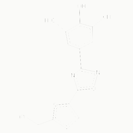 Cc1cc(-c2noc(-c3ccc(CC(C)C)s3)n2)cc(C)c1O